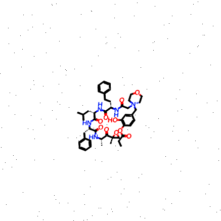 CCC(=O)Oc1ccc(C[N+]2(CC(=O)N[C@@H](CCc3ccccc3)C(=O)N[C@@H](CC(C)C)C(=O)N[C@@H](Cc3ccccc3)C(=O)N[C@@H](C)C(=O)[C@@]3(C)CO3)CCOCC2)cc1O